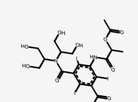 CC(=O)OC(C)C(=O)Nc1c(I)c(C(N)=O)c(I)c(C(=O)N(C(CO)CO)C(CO)CO)c1I